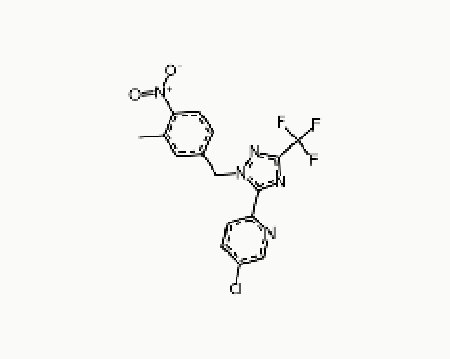 Cc1cc(Cn2nc(C(F)(F)F)nc2-c2ccc(Cl)cn2)ccc1[N+](=O)[O-]